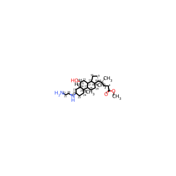 COC(=O)CC[C@@H](C)[C@H]1CCC2C3C[C@H](O)[C@@H]4CC(NCCN)CC[C@]4(C)C3CC[C@@]21C